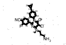 CN(CCCN)c1nc(-c2ccc(C#N)c(F)c2)n(-c2ccc(C3CC3)cc2)c(=O)c1Cl